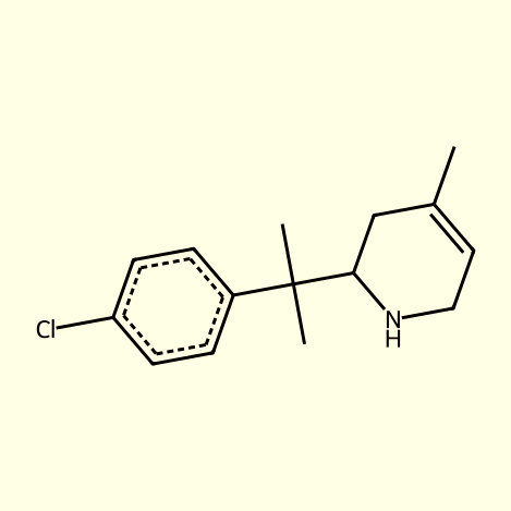 CC1=CCNC(C(C)(C)c2ccc(Cl)cc2)C1